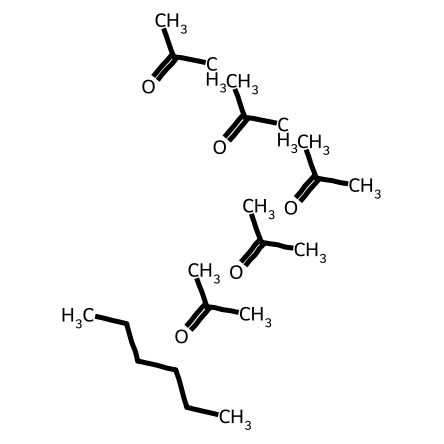 CC(C)=O.CC(C)=O.CC(C)=O.CC(C)=O.CC(C)=O.CCCCCC